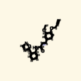 C#CCOc1ccc(/C=C/C(=O)Nc2ccccc2-c2ncno2)cc1OC